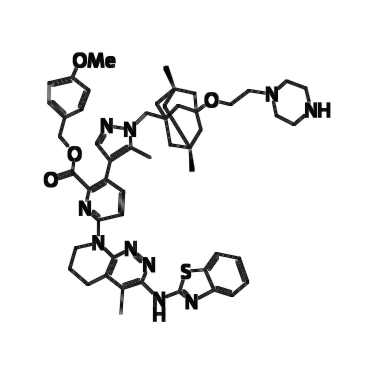 COc1ccc(COC(=O)c2nc(N3CCCc4c3nnc(Nc3nc5ccccc5s3)c4C)ccc2-c2cnn(CC34CC5(OCCN6CCNCC6)C[C@](C)(C3)C[C@](C)(C4)C5)c2C)cc1